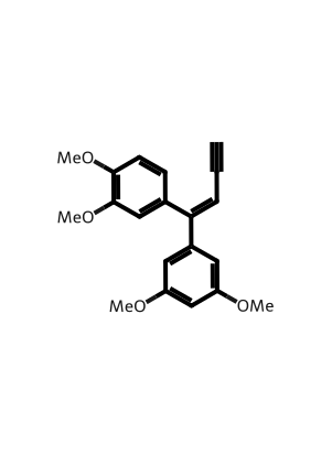 C#CC=C(c1cc(OC)cc(OC)c1)c1ccc(OC)c(OC)c1